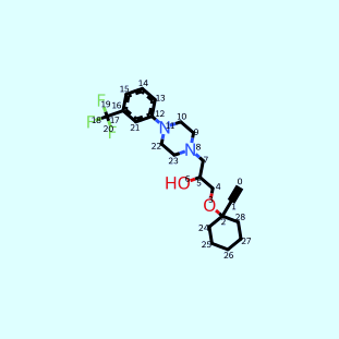 C#CC1(OCC(O)CN2CCN(c3cccc(C(F)(F)F)c3)CC2)CCCCC1